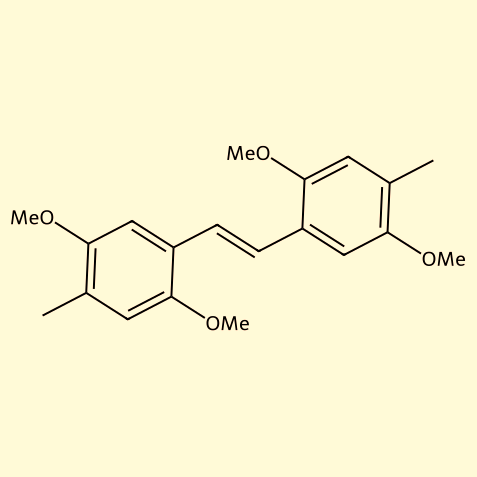 COc1cc(C=Cc2cc(OC)c(C)cc2OC)c(OC)cc1C